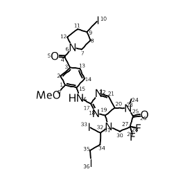 COc1cc(C(=O)N2CCC(I)CC2)ccc1NC1=NC2C(C=N1)N(C)C(=O)C(F)(F)CN2C(I)CCI